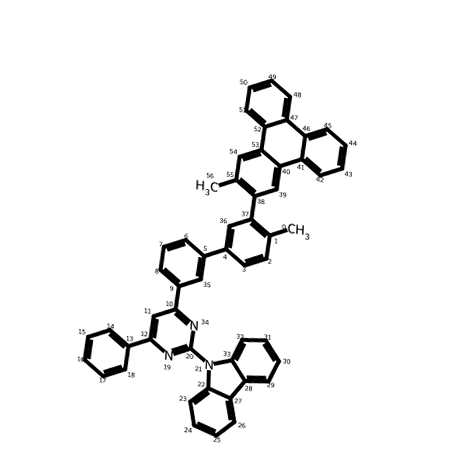 Cc1ccc(-c2cccc(-c3cc(-c4ccccc4)nc(-n4c5ccccc5c5ccccc54)n3)c2)cc1-c1cc2c3ccccc3c3ccccc3c2cc1C